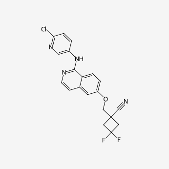 N#CC1(COc2ccc3c(Nc4ccc(Cl)nc4)nccc3c2)CC(F)(F)C1